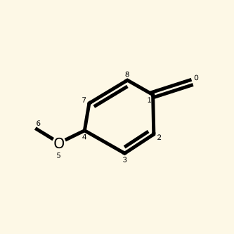 C=C1C=CC(OC)C=C1